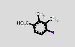 Cc1c(I)ccc(C(=O)O)c1C